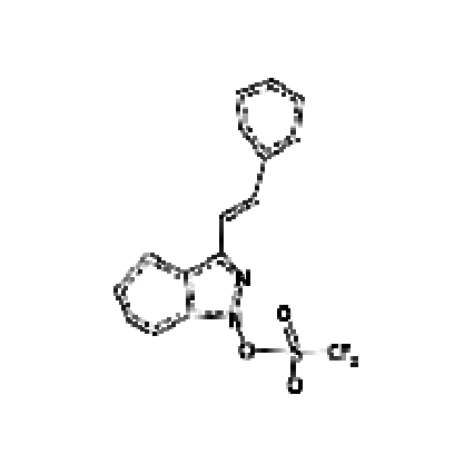 O=S(=O)(On1nc(/C=C/c2ccccc2)c2ccccc21)C(F)(F)F